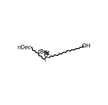 CCCCCCCCCCCCCCCCCC[C@H](C)[C@H](CCCCCCCCCCCCCCCCCO)O[Si](C)(C)C(C)(C)C